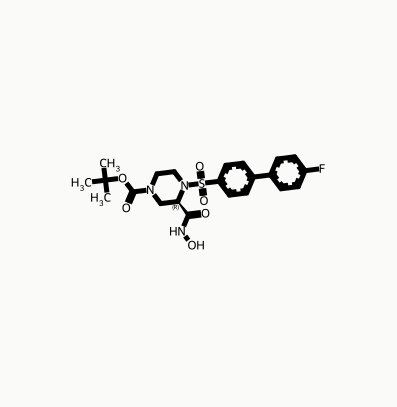 CC(C)(C)OC(=O)N1CCN(S(=O)(=O)c2ccc(-c3ccc(F)cc3)cc2)[C@@H](C(=O)NO)C1